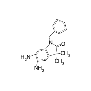 CC1(C)C(=O)N(Cc2ccccc2)c2cc(N)c(N)cc21